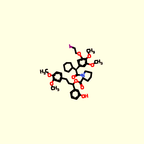 COc1ccc(CCC(OC(=O)C2CCCCN2C(=O)[C@H](c2cc(OC)c(OC)c(OCCI)c2)C2CCCCC2)c2cccc(O)c2)cc1OC